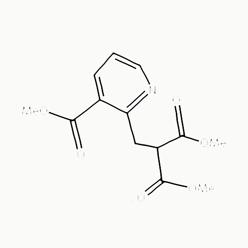 COC(=O)c1cccnc1CC(C(=O)OC)C(=O)OC